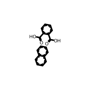 O=C(O)c1ccccc1C(=O)O.c1ccc2ccccc2c1